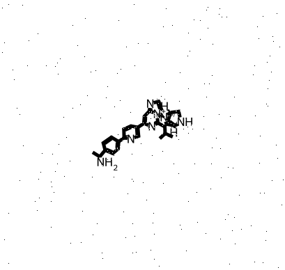 CC(C)CC1=NC(c2ccc(-c3ccc(C(C)N)cc3)nc2)=CC2=NC=C[N@@+]21N1C[C@@H]2C[C@H]1CN2